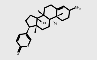 C[C@]12CCC(N)C=C1CC[C@@H]1[C@@H]2CC[C@]2(C)[C@@H](c3ccc(=O)oc3)CC[C@]12O